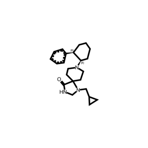 O=C1NCN(CC2CC2)C12CCN([C@@H]1CCCC[C@@H]1c1ccccc1)CC2